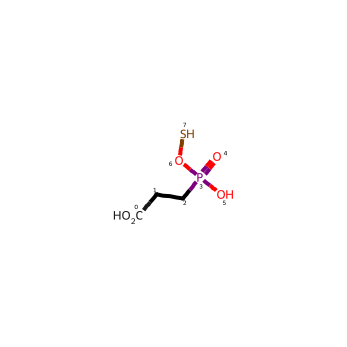 O=C(O)CCP(=O)(O)OS